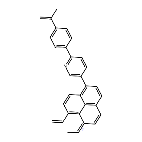 C=Cc1ccc2c(-c3ccc(-c4ccc(C(=C)C)cn4)nc3)ccc3cc/c(=C/C)c1c32